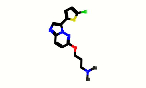 CCN(CC)CCCOc1ccc2ncc(-c3ccc(Cl)s3)n2n1